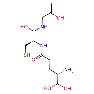 C=C(O)CNC(O)[C@H](CS)NC(=O)CC[C@H](N)C(O)O